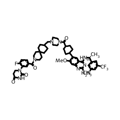 COc1cc2nc(C)nc(N[C@H](C)c3cc(N)cc(C(F)(F)F)c3)c2cc1C1CCC(C(=O)N2CCN(CC3CCC4(CC3)CCN(C(=O)c3ccc(F)c(N5CCC(=O)NC5=O)c3)CC4)CC2)CC1